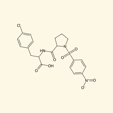 O=C(O)C(Cc1ccc(Cl)cc1)NC(=O)C1CCCN1S(=O)(=O)c1ccc([N+](=O)[O-])cc1